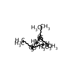 CC(C)CCCCCOP(=S)(OCCCCCC(C)C)SCCC(=O)NCSP(=S)(OCCCCCC(C)C)OCCCCCC(C)C